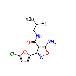 CCCCC(CC)CNC(=O)c1c(-c2ccc(Cl)o2)noc1N